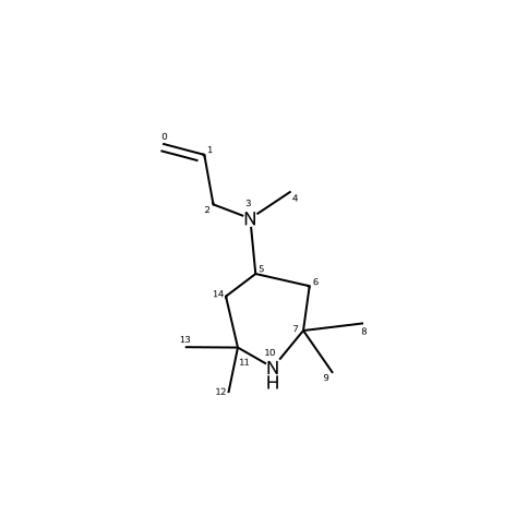 C=CCN(C)C1CC(C)(C)NC(C)(C)C1